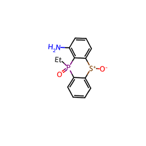 CCP1(=O)c2ccccc2[S+]([O-])c2cccc(N)c21